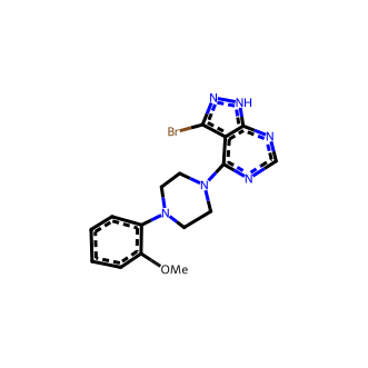 COc1ccccc1N1CCN(c2ncnc3[nH]nc(Br)c23)CC1